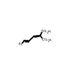 CCC=CC=C(C(=O)O)C(=O)O